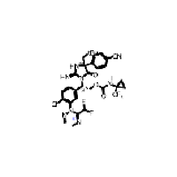 C=NN(/C(=N\C)C(F)F)c1cc([C@@H](COC(=O)NC2(C(F)(F)F)CC2)N2C(=N)N[C@](CC(C)(C)C)(c3ccc(C#N)cc3)C2=O)ccc1Cl